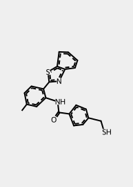 Cc1ccc(-c2nc3ccccc3s2)c(NC(=O)c2ccc(CS)cc2)c1